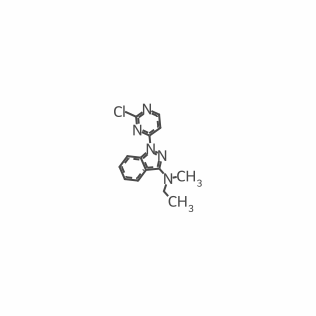 CCN(C)c1nn(-c2ccnc(Cl)n2)c2ccccc12